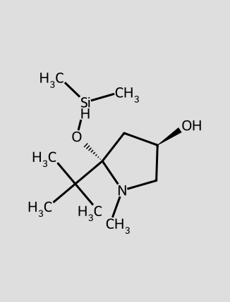 CN1C[C@H](O)C[C@]1(O[SiH](C)C)C(C)(C)C